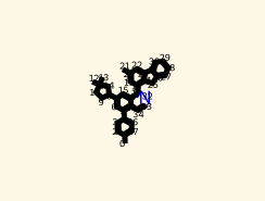 Cc1ccc(-c2cc(C3CCC(C)(C)C3)cc3c(-c4cc(C)cc5c4Cc4ccccc4-5)nccc23)cc1